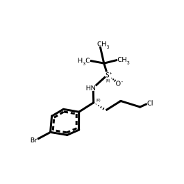 CC(C)(C)[S@+]([O-])N[C@H](CCCCl)c1ccc(Br)cc1